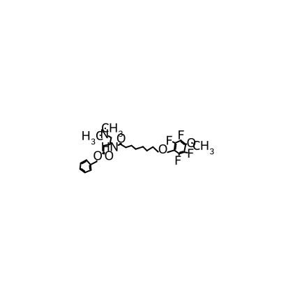 COc1c(F)c(F)c(COCCCCCCCC(=O)NC(CC(=O)OCc2ccccc2)CN(C)C)c(F)c1F